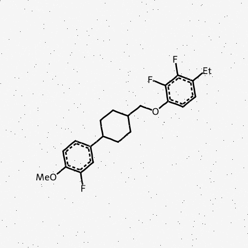 CCc1ccc(OCC2CCC(c3ccc(OC)c(F)c3)CC2)c(F)c1F